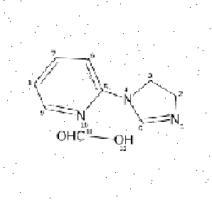 C1=NCCN1c1ccccn1.O=CO